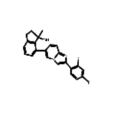 CC1(O)CCc2cccc(-c3ccc4nc(-c5ccc(F)cc5F)cn4c3)c21